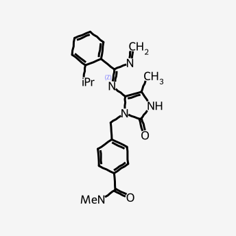 C=N/C(=N\c1c(C)[nH]c(=O)n1Cc1ccc(C(=O)NC)cc1)c1ccccc1C(C)C